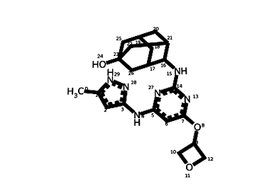 Cc1cc(Nc2cc(OC3COC3)nc(NC3C4CC5CC3CC(O)(C5)C4)n2)n[nH]1